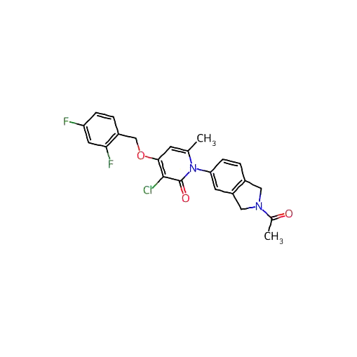 CC(=O)N1Cc2ccc(-n3c(C)cc(OCc4ccc(F)cc4F)c(Cl)c3=O)cc2C1